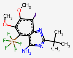 COc1c(OC)c(S(F)(F)(F)(F)F)c2c(N)nc(C(C)(C)C)nc2c1I